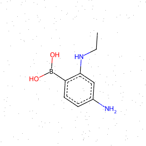 CCNc1cc(N)ccc1B(O)O